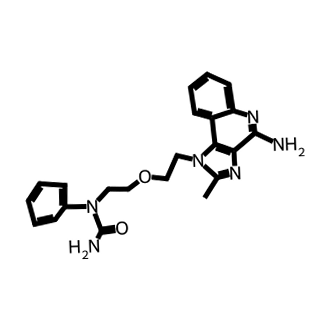 Cc1nc2c(N)nc3ccccc3c2n1CCOCCN(C(N)=O)c1ccccc1